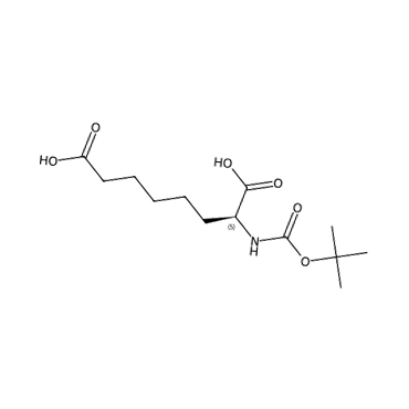 CC(C)(C)OC(=O)N[C@@H](CCCCCC(=O)O)C(=O)O